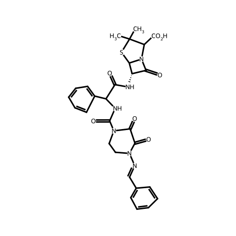 CC1(C)SC2[C@@H](NC(=O)C(NC(=O)N3CCN(/N=C/c4ccccc4)C(=O)C3=O)c3ccccc3)C(=O)N2C1C(=O)O